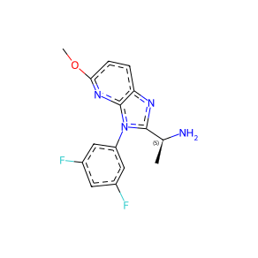 COc1ccc2nc([C@H](C)N)n(-c3cc(F)cc(F)c3)c2n1